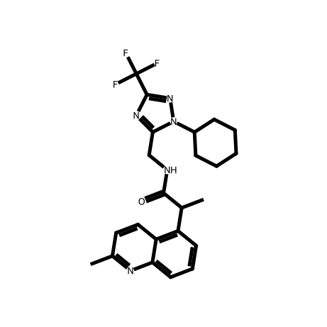 Cc1ccc2c(C(C)C(=O)NCc3nc(C(F)(F)F)nn3C3CCCCC3)cccc2n1